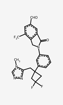 Cn1cnnc1CC1(c2cccc(N3Cc4c(cc(C=O)cc4C(F)(F)F)C3=O)c2)CC(F)(F)C1